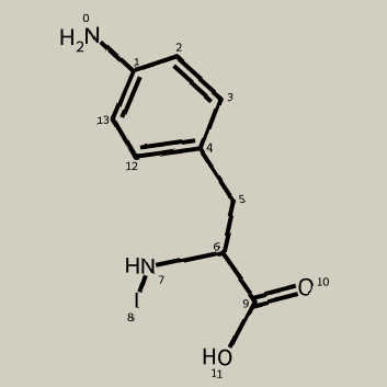 Nc1ccc(CC(NI)C(=O)O)cc1